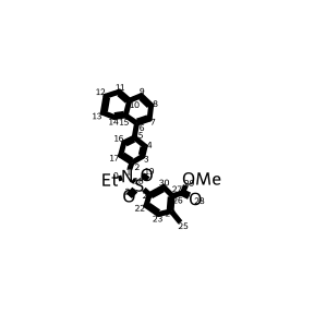 CCN(c1ccc(-c2cccc3ccccc23)cc1)S(=O)(=O)c1ccc(C)c(C(=O)OC)c1